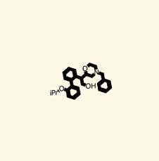 CC(C)Oc1ccccc1-c1ccccc1C(CO)C1CN(Cc2ccccc2)CCO1